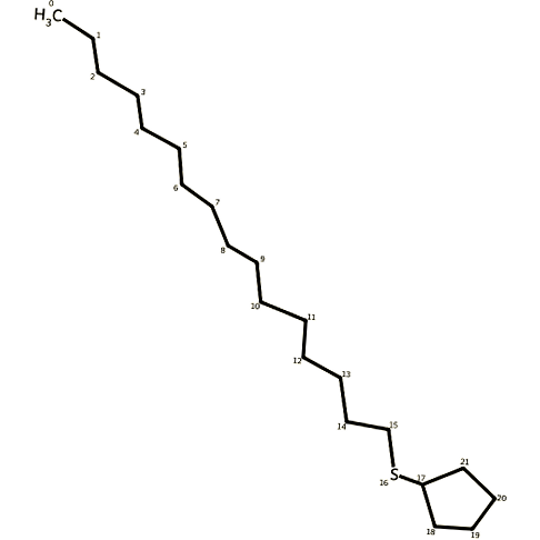 CCCCCCCCCCCCCCCCSC1CCCC1